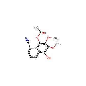 COc1c(OC)c(OC(C)=O)c2c(C#N)cccc2c1O